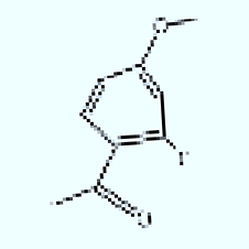 [CH2]C(=O)c1ccc(OC)cc1Cl